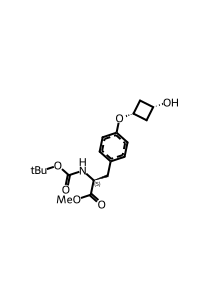 COC(=O)[C@H](Cc1ccc(O[C@H]2C[C@@H](O)C2)cc1)NC(=O)OC(C)(C)C